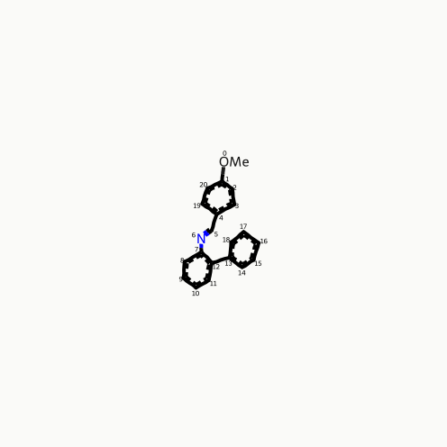 COc1ccc(C=Nc2ccccc2-c2ccccc2)cc1